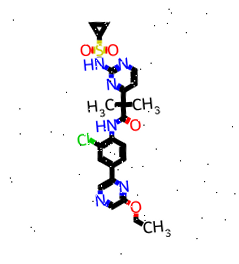 CCOc1cncc(-c2ccc(NC(=O)C(C)(C)c3ccnc(NS(=O)(=O)C4CC4)n3)c(Cl)c2)n1